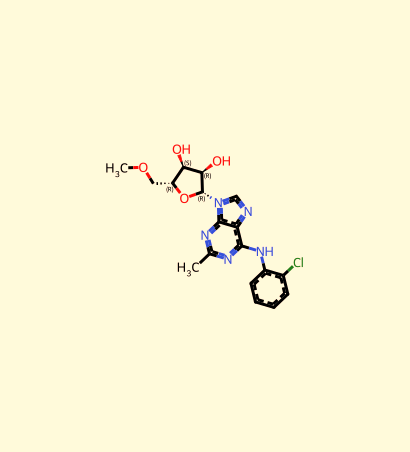 COC[C@H]1O[C@@H](n2cnc3c(Nc4ccccc4Cl)nc(C)nc32)[C@H](O)[C@@H]1O